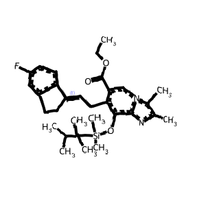 CCOC(=O)c1cn2c(C)c(C)nc2c(O[Si](C)(C)C(C)(C)C(C)C)c1C/C=C1\CCc2cc(F)ccc21